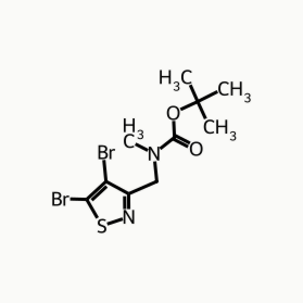 CN(Cc1nsc(Br)c1Br)C(=O)OC(C)(C)C